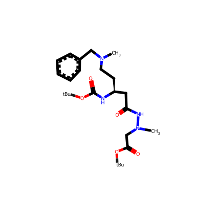 CN(CC[C@@H](CC(=O)NN(C)CC(=O)OC(C)(C)C)NC(=O)OC(C)(C)C)Cc1ccccc1